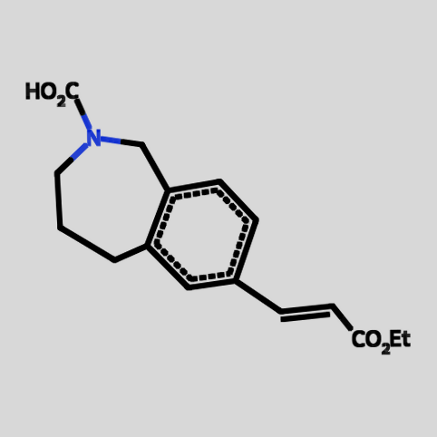 CCOC(=O)/C=C/c1ccc2c(c1)CCCN(C(=O)O)C2